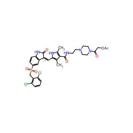 CC(=O)OCC(=O)N1CCN(CCNC(=O)c2c(C)[nH]c(/C=C3\C(=O)Nc4ccc(S(=O)(=O)Cc5c(Cl)cccc5Cl)cc43)c2C)CC1